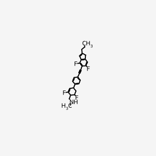 CCCC1=Cc2c(cc(F)c(C#Cc3ccc(C4C=C(F)C(CNC)C(F)C4)cc3)c2F)C1